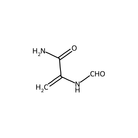 C=C(NC=O)C(N)=O